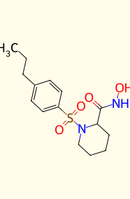 CCCc1ccc(S(=O)(=O)N2CCCCC2C(=O)NO)cc1